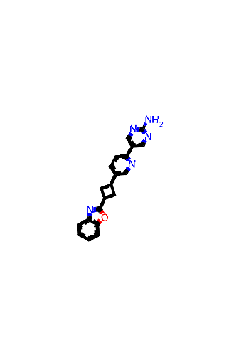 Nc1ncc(-c2ccc(C3CC(c4nc5ccccc5o4)C3)cn2)cn1